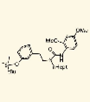 CCCCCCCN(CCc1cccc(O[Si](C)(C)C(C)(C)C)c1)C(=O)Nc1ccc(OC)cc1OC